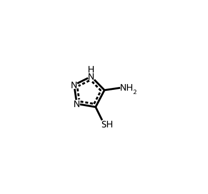 Nc1[nH]nnc1S